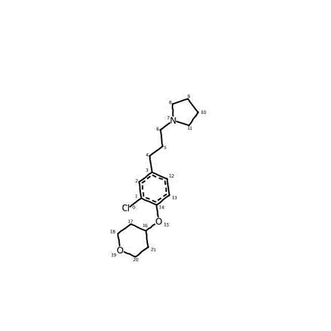 Clc1cc(CCCN2CCCC2)ccc1OC1CCOCC1